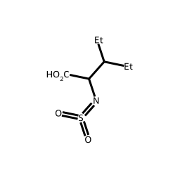 CCC(CC)C(N=S(=O)=O)C(=O)O